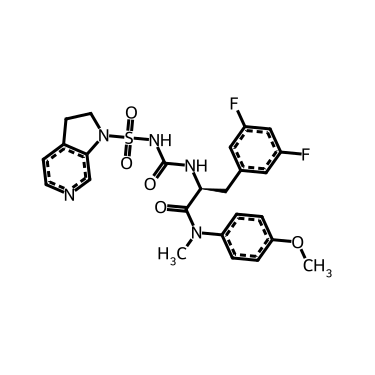 COc1ccc(N(C)C(=O)[C@H](Cc2cc(F)cc(F)c2)NC(=O)NS(=O)(=O)N2CCc3ccncc32)cc1